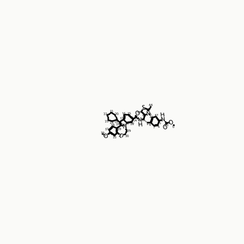 COC(=O)Nc1ccc(C[C@H](NC(=O)c2ccc3c(C4CCCCC4)c4n(c3c2)CCOc2cc(OC)ccc2-4)c2csc(C)n2)cc1